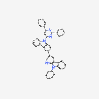 c1ccc(-c2cc(-n3c4ccccc4c4cc(-c5cnc6c(c5)c5ccccc5n6-c5ccccc5)ccc43)nc(-c3ccccc3)n2)cc1